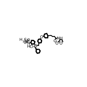 Cc1c(NS(C)(=O)=O)cccc1N(Cc1ccccc1)Cc1ccc(Oc2ccc(CCCC(=O)NC3CCOC3=O)cc2)cc1